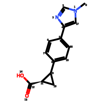 Cn1cnc(-c2ccc(C3C[C@@H]3C(=O)O)cc2)c1